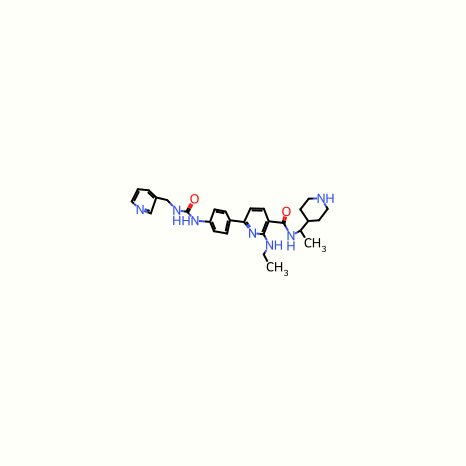 CCNc1nc(-c2ccc(NC(=O)NCc3cccnc3)cc2)ccc1C(=O)NC(C)C1CCNCC1